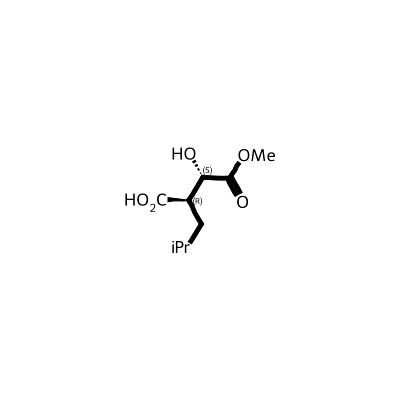 COC(=O)[C@@H](O)[C@@H](CC(C)C)C(=O)O